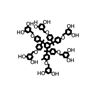 Cc1cc(C(C)(c2ccc(OCc3cc(O)cc(O)c3)cc2)c2cc(C(C)(c3ccc(OCc4cc(O)cc(O)c4)cc3)c3ccc(OCc4cc(O)cc(O)c4)cc3)cc(C(C)(c3ccc(OCc4cc(O)cc(O)c4)cc3)c3ccc(OCc4cc(O)cc(O)c4)cc3)c2)ccc1OCc1cc(O)cc(O)c1